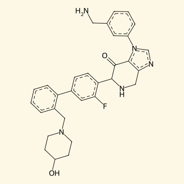 NCc1cccc(-n2cnc3c2C(=O)C(c2ccc(-c4ccccc4CN4CCC(O)CC4)cc2F)NC3)c1